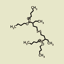 CCCCO[SiH](OCCCC)C(CC)CCSSCCC(CC)[SiH](OCCCC)OCCCC